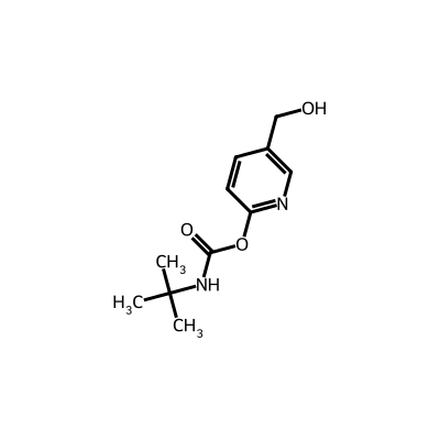 CC(C)(C)NC(=O)Oc1ccc(CO)cn1